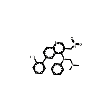 CN(C)CN(c1ccccc1)c1c(C[SH](=O)=O)cnc2ccc(-c3ccccc3O)cc12